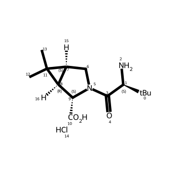 CC(C)(C)[C@H](N)C(=O)N1C[C@H]2[C@@H]([C@H]1C(=O)O)C2(C)C.Cl